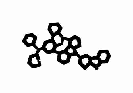 c1ccc(N(c2ccccc2)c2cc3c4c(c2)-c2cccc5c2c2c(cccc2n5-c2ccc5oc6ccccc6c5c2)C(C4)c2ccccc2-3)cc1